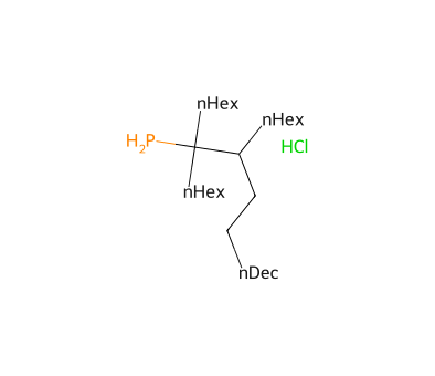 CCCCCCCCCCCCC(CCCCCC)C(P)(CCCCCC)CCCCCC.Cl